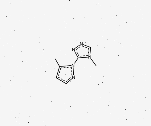 Cc1[c]cnn1-c1nncn1C